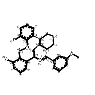 COc1cccc(C(=O)[C@H]2CNC[C@H](c3cc[c]c(F)c3OC)[C@@H]2CC(OC)c2cccc(F)c2C)c1